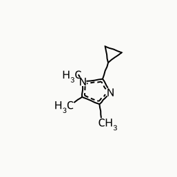 Cc1nc(C2CC2)n(C)c1C